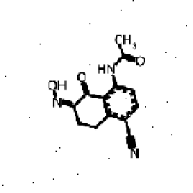 CC(=O)Nc1ccc(C#N)c2c1C(=O)C(=NO)CC2